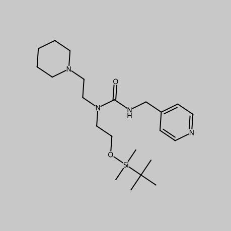 CC(C)(C)[Si](C)(C)OCCN(CCN1CCCCC1)C(=O)NCc1ccncc1